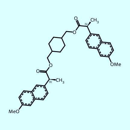 COc1ccc2cc([C@H](C)C(=O)OCC3CCC(COC(=O)[C@@H](C)c4ccc5cc(OC)ccc5c4)CC3)ccc2c1